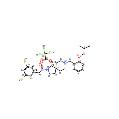 CC(C)COc1ccccc1CN1CCC2(CC1)CCN(C(=O)Cc1cc(F)cc(F)c1)C2OC(=O)C(F)(F)F